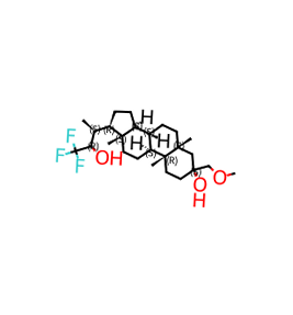 COC[C@]1(O)CC[C@]2(C)[C@H]3CC[C@]4(C)[C@@H]([C@H](C)[C@@H](O)C(F)(F)F)CC[C@H]4[C@@H]3CC[C@]2(C)C1